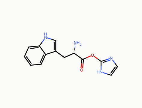 N[C@@H](Cc1c[nH]c2ccccc12)C(=O)Oc1ncc[nH]1